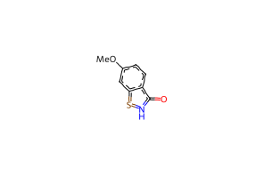 COc1ccc2c(=O)[nH]sc2c1